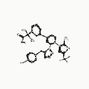 Cc1nc(C(F)(F)F)cn1-c1ccc(-c2cccc(C(C)(C)C(N)=O)c2)cc1-n1nncc1Cc1ccc(Cl)cc1